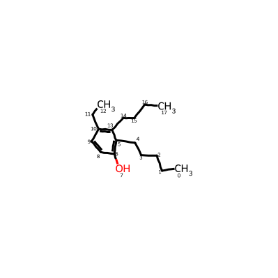 CCCCCc1c(O)ccc(CC)c1CCCC